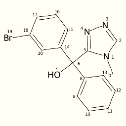 Cn1cnnc1C(O)(c1ccccc1)c1cccc(Br)c1